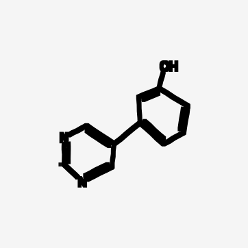 Oc1cccc(-c2cn[c]nc2)c1